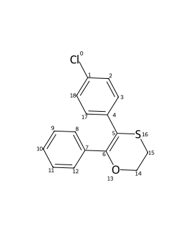 Clc1ccc(C2=C(c3ccccc3)OCCS2)cc1